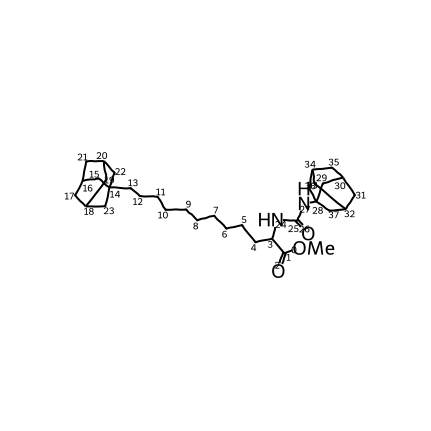 COC(=O)C(CCCCCCCCCCC12CC3CC(CC(C3)C1)C2)NC(=O)NC12CC3CC(CC(C3)C1)C2